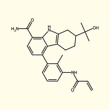 C=CC(=O)Nc1cccc(-c2ccc(C(N)=O)c3[nH]c4c(c23)CCC(C(C)(C)O)C4)c1C